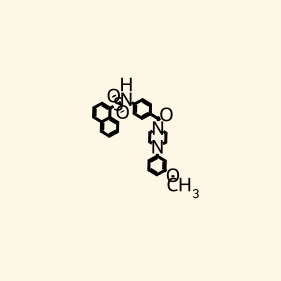 COc1cccc(N2CCN(C(=O)c3ccc(NS(=O)(=O)c4cccc5ccccc45)cc3)CC2)c1